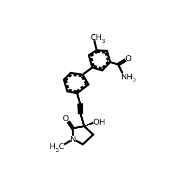 Cc1cc(C(N)=O)cc(-c2cccc(C#C[C@]3(O)CCN(C)C3=O)c2)c1